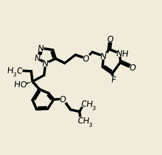 CC[C@@](O)(Cn1nncc1CCOCn1cc(F)c(=O)[nH]c1=O)c1cccc(OCC(C)C)c1